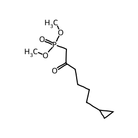 COP(=O)(CC(=O)CCCCC1CC1)OC